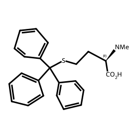 CN[C@H](CCSC(c1ccccc1)(c1ccccc1)c1ccccc1)C(=O)O